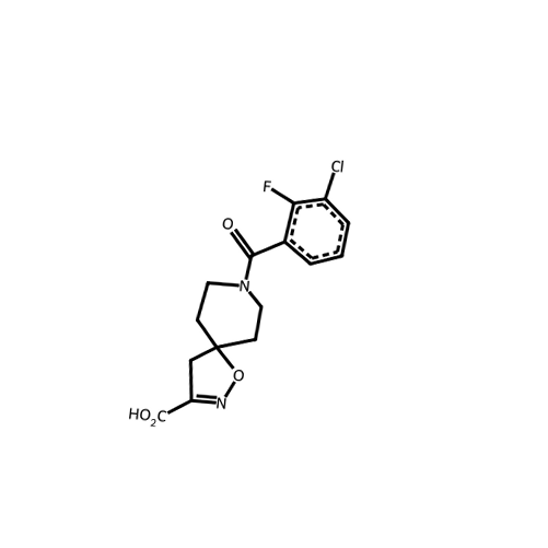 O=C(O)C1=NOC2(CCN(C(=O)c3cccc(Cl)c3F)CC2)C1